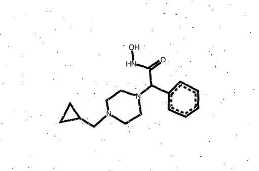 O=C(NO)C(c1ccccc1)N1CCN(CC2CC2)CC1